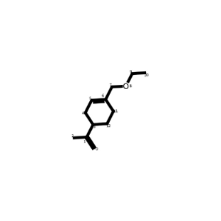 C=C(C)C1CC=C(COCC)CC1